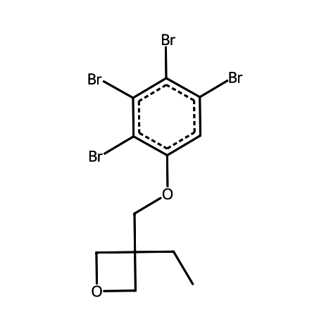 CCC1(COc2cc(Br)c(Br)c(Br)c2Br)COC1